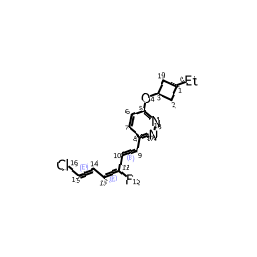 CCC1CC(Oc2ccc(/C=C/C(F)=C\C=C\Cl)nn2)C1